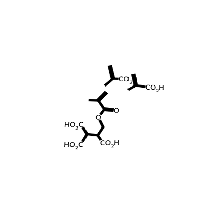 C=C(C)C(=O)O.C=C(C)C(=O)O.C=C(C)C(=O)OCC(C(=O)O)C(C(=O)O)C(=O)O